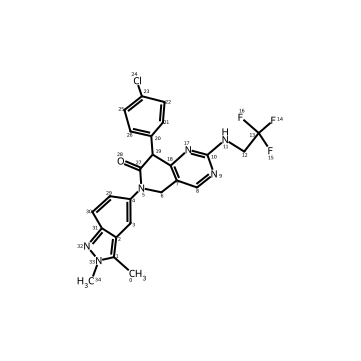 Cc1c2cc(N3Cc4cnc(NCC(F)(F)F)nc4C(c4ccc(Cl)cc4)C3=O)ccc2nn1C